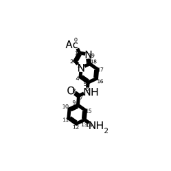 CC(=O)c1cn2cc(NC(=O)c3cccc(N)c3)ccc2n1